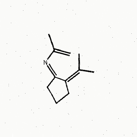 C=C(C)/N=C1/CCCC1=C(C)C